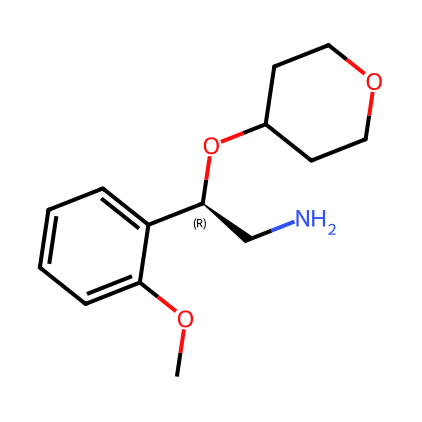 COc1ccccc1[C@H](CN)OC1CCOCC1